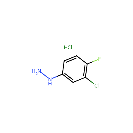 Cl.NNc1ccc(F)c(Cl)c1